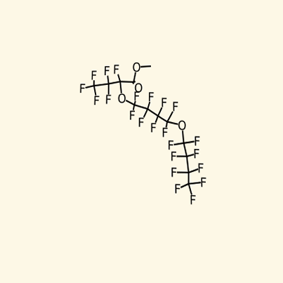 COC(=O)C(F)(OC(F)(F)C(F)(F)C(F)(F)C(F)(F)OC(F)(F)C(F)(F)C(F)(F)C(F)(F)F)C(F)(F)C(F)(F)F